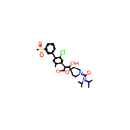 Cc1cc(-c2cccc(S(C)(=O)=O)c2)c(Cl)cc1C1=C(O)C2(CCN(C(=O)N(C(C)C)C(C)C)CC2)OC1=O